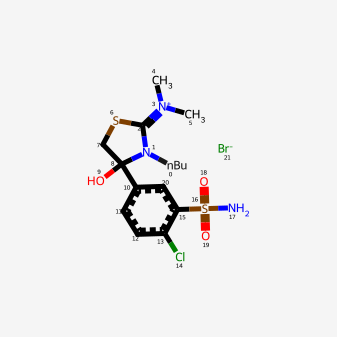 CCCCN1C(=[N+](C)C)SCC1(O)c1ccc(Cl)c(S(N)(=O)=O)c1.[Br-]